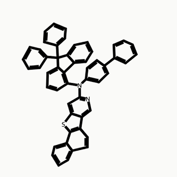 c1ccc(-c2ccc(N(c3cc4sc5c6ccccc6ccc5c4cn3)c3cccc4c3-c3ccccc3C4(c3ccccc3)c3ccccc3)cc2)cc1